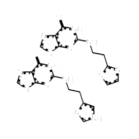 O=c1[nH]c(NCCc2c[nH]cn2)nc2nc[nH]c12.O=c1[nH]c(NCCc2ncc[nH]2)nc2nc[nH]c12